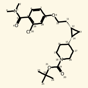 CN(C)C(=O)c1ccc(OCC[C@@H]2C[C@@H]2C2CCN(C(=O)OC(C)(C)C)CC2)cc1Cl